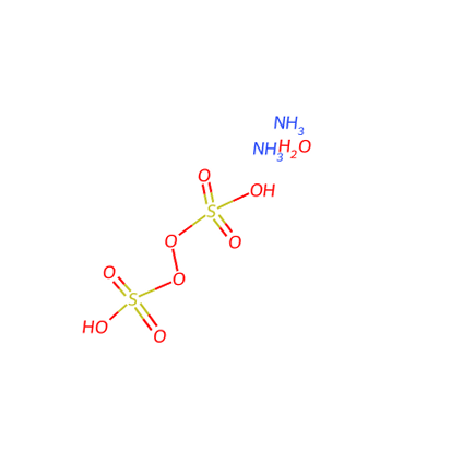 N.N.O.O=S(=O)(O)OOS(=O)(=O)O